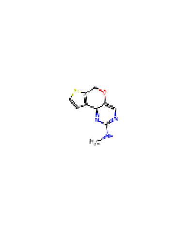 CNc1ncc2c(n1)-c1ccsc1CO2